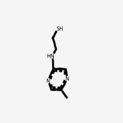 Cc1cnc(NCCS)cn1